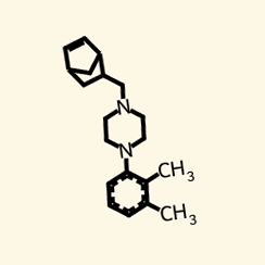 Cc1cccc(N2CCN(CC3CC4C=CC3C4)CC2)c1C